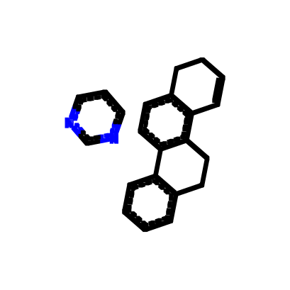 C1=Cc2c(ccc3c2CCc2ccccc2-3)CC1.c1cncnc1